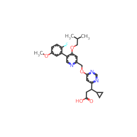 COc1ccc(F)c(-c2cnc(COc3cc(C(CC(=O)O)C4CC4)ncn3)cc2OCC(C)C)c1